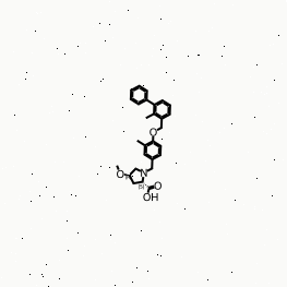 CO[C@@H]1C[C@@H](C(=O)O)N(Cc2ccc(OCc3cccc(-c4ccccc4)c3C)c(C)c2)C1